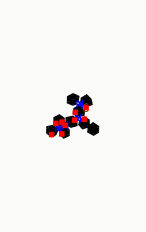 c1ccc(-c2ccc(N(c3ccc(N4c5ccccc5N(c5ccccc5)c5ccccc54)cc3)c3ccc4c(c3)Sc3ccccc3N4c3ccccc3)cc2)cc1